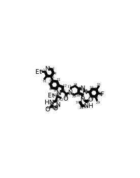 CCc1nccc(-c2ccc3c(c2)cc(C(=O)N2CCc4nn(-c5cc(C)c(F)c(C)c5)c(-n5cc[nH]c5=O)c4C2)n3[C@](C)(CC)c2noc(=O)[nH]2)c1C